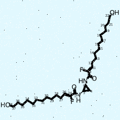 O=C(N[C@H]1C[C@H]1NC(=O)/C(F)=C/CCCCCCCCCCCO)/C(F)=C/CCCCCCCCCCCO